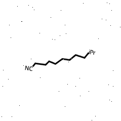 CC(C)CCCCCCCCC#N